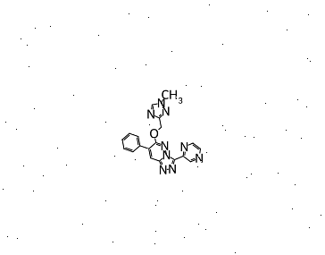 Cn1cnc(COc2nn3c(-c4cnccn4)nnc3cc2-c2ccccc2)n1